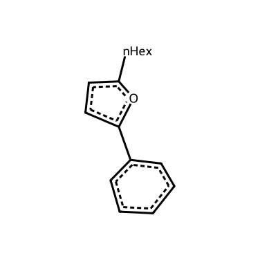 CCCCCCc1ccc(-c2ccccc2)o1